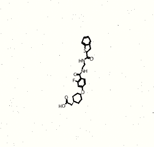 O=C(O)C[C@H]1CC[C@@H](Oc2ccc(C(=O)NCCNC(=O)C3Cc4ccccc4S3)c(F)c2)CC1